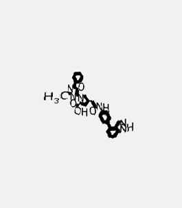 Cc1nc(N2C[C@@H](CC(=O)Nc3ccc(-c4cccc5[nH]ncc45)cc3)C[C@H]2C(=O)O)c2oc3ccccc3c2n1